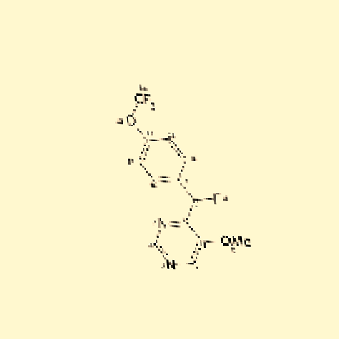 COc1cncnc1C(F)c1ccc(OC(F)(F)F)cc1